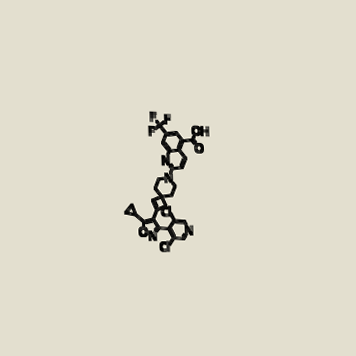 O=C(O)c1cc(C(F)(F)F)cc2nc(N3CCC4(C=C(c5c(-c6c(Cl)cncc6Cl)noc5C5CC5)C4)CC3)ccc12